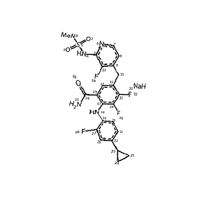 CNS(=O)(=O)Nc1nccc(Cc2cc(C(N)=O)c(Nc3ccc(C4CC4)cc3F)c(F)c2F)c1F.[NaH]